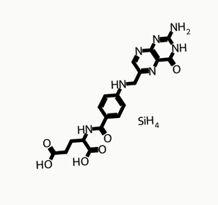 Nc1nc2ncc(CNc3ccc(C(=O)NC(CCC(=O)O)C(=O)O)cc3)nc2c(=O)[nH]1.[SiH4]